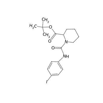 CC(C)(C)OC(=O)C1CCCCN1C(=O)Nc1ccc(I)cc1